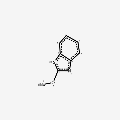 CCCCOc1nc2ccccc2s1